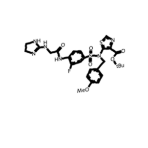 COc1ccc(CN(c2scnc2C(=O)OC(C)(C)C)S(=O)(=O)c2ccc(NC(=O)CNC3=NCCN3)c(F)c2)cc1